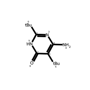 CC(C)(C)c1nc(N)c(C(C)(C)C)c(=O)[nH]1